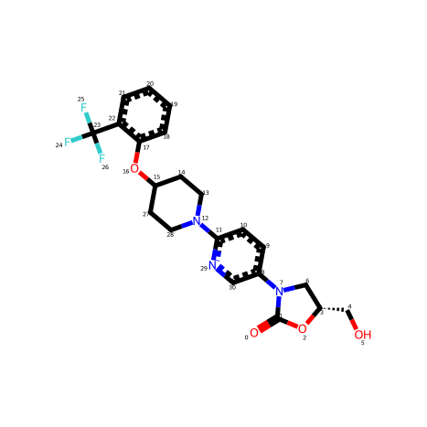 O=C1O[C@@H](CO)CN1c1ccc(N2CCC(Oc3ccccc3C(F)(F)F)CC2)nc1